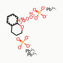 O.O.O.O=P([O-])([O-])[O-].O=P([O-])([O-])[O-].[Pb+2].[Pb+2].[Pb+2].c1ccc2c(c1)CCCO2